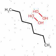 CCCCCCC.OO.OO